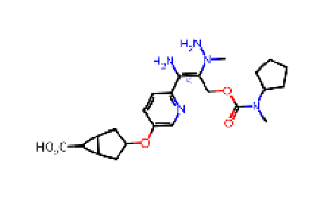 CN(N)/C(COC(=O)N(C)C1CCCC1)=C(\N)c1ccc(OC2CC3C(C2)C3C(=O)O)cn1